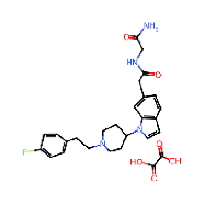 NC(=O)CNC(=O)Cc1ccc2ccn(C3CCN(CCc4ccc(F)cc4)CC3)c2c1.O=C(O)C(=O)O